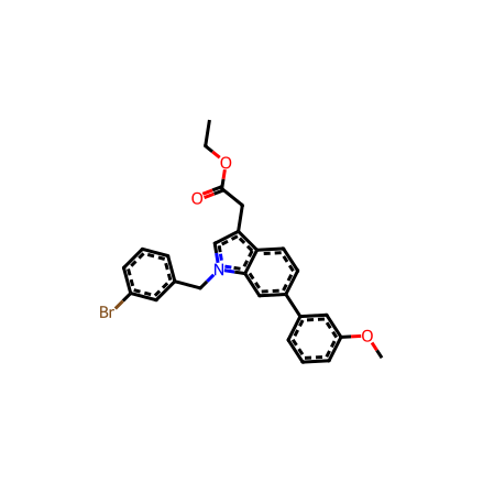 CCOC(=O)Cc1cn(Cc2cccc(Br)c2)c2cc(-c3cccc(OC)c3)ccc12